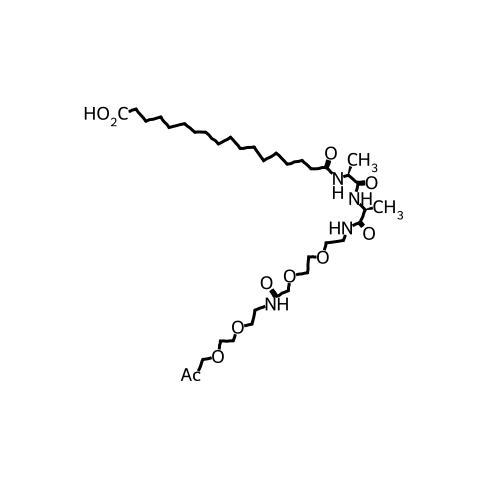 CC(=O)COCCOCCNC(=O)COCCOCCNC(=O)[C@H](C)NC(=O)[C@H](C)NC(=O)CCCCCCCCCCCCCCCCC(=O)O